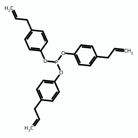 C=CCc1ccc(OP(Oc2ccc(CC=C)cc2)Oc2ccc(CC=C)cc2)cc1